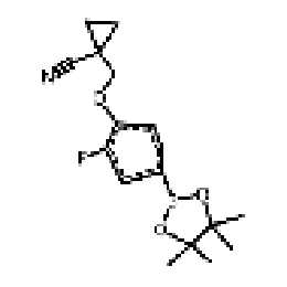 CC1(C)OB(c2ccc(OCC3(C#N)CC3)c(F)c2)OC1(C)C